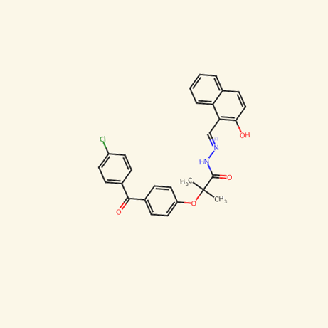 CC(C)(Oc1ccc(C(=O)c2ccc(Cl)cc2)cc1)C(=O)N/N=C/c1c(O)ccc2ccccc12